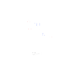 COc1ccc(C(=O)N2c3ccccc3[C@H](NC(=O)OCc3ccccc3)C[C@H]2C)cc1